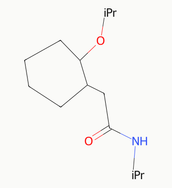 CC(C)NC(=O)CC1CCCCC1OC(C)C